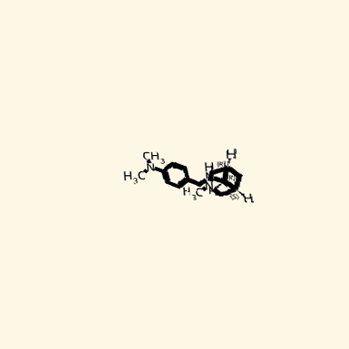 CN1C[C@H]2C[C@@H](C1)[C@H]2NCc1ccc(N(C)C)cc1